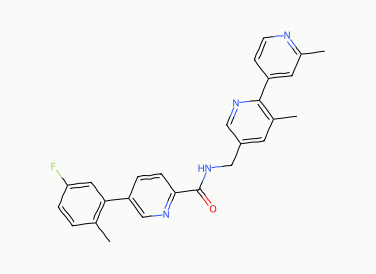 Cc1cc(-c2ncc(CNC(=O)c3ccc(-c4cc(F)ccc4C)cn3)cc2C)ccn1